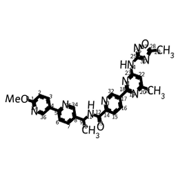 COc1ccc(-c2ccc(C(C)NC(=O)c3ccc(-c4nc(C)cc(Nc5noc(C)n5)n4)cn3)cn2)cn1